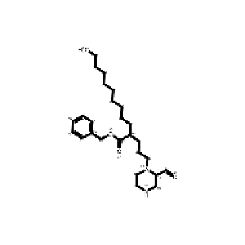 CCCCCCCCCCC(CCCN1CCNCC1C=O)C(=O)OCc1ccccc1